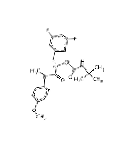 COc1ccc(N(C)C(=O)[C@H](Cc2cc(F)cc(F)c2)OC(=O)NC(C)(C)C)cc1